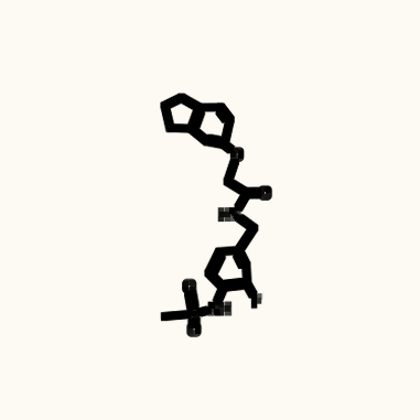 CS(=O)(=O)Nc1ccc(CNC(=O)COc2ccc3c(c2)CCC3)cc1F